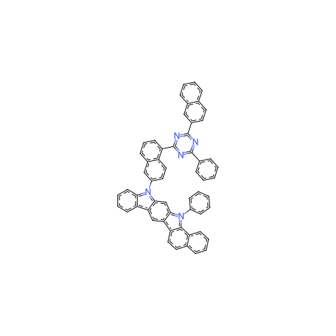 c1ccc(-c2nc(-c3ccc4ccccc4c3)nc(-c3cccc4cc(-n5c6ccccc6c6cc7c8ccc9ccccc9c8n(-c8ccccc8)c7cc65)ccc34)n2)cc1